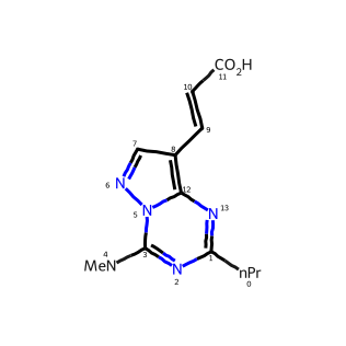 CCCc1nc(NC)n2ncc(/C=C/C(=O)O)c2n1